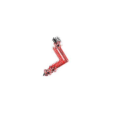 O.O.O.O.O.O.O.O.O.O.O.O.O.O.O.O.O.O.[Al+3].[Al+3].[Al+3].[Al+3].[O-][Si]([O-])([O-])[O-].[O-][Si]([O-])([O-])[O-].[O-][Si]([O-])([O-])[O-]